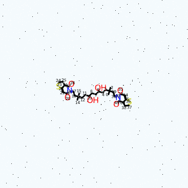 CC(C)(CCC(O)CCC(O)CCC(C)(C)CCN1C(=O)C=C2SCCC2C1=O)CCN1C(=O)C=C2SCCC2C1=O